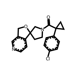 O=C(N1CCC2(C1)OCc1cnccc12)C1(c2ccc(Cl)cc2)CC1